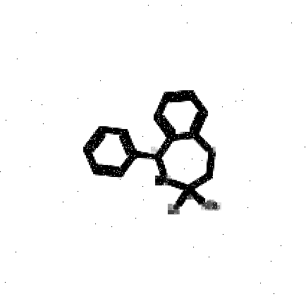 CCCC[C@]1(CC)CSc2ccccc2[C@H](c2ccccc2)N1